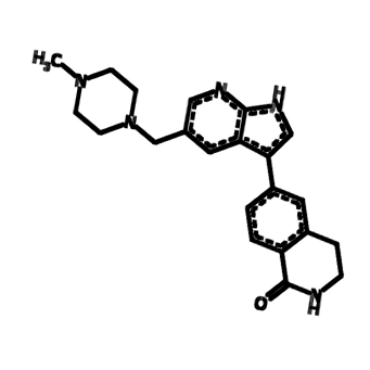 CN1CCN(Cc2cnc3[nH]cc(-c4ccc5c(c4)CCNC5=O)c3c2)CC1